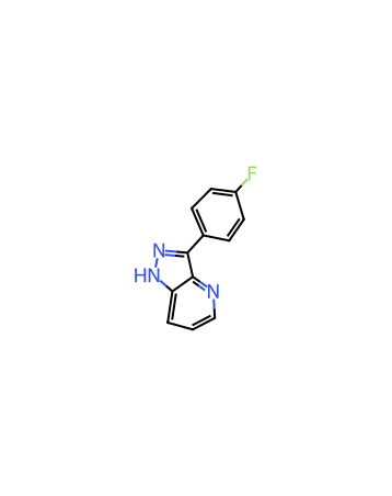 Fc1ccc(-c2n[nH]c3cccnc23)cc1